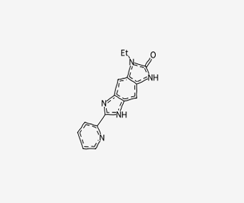 CCn1c(=O)[nH]c2cc3[nH]c(-c4ccccn4)nc3cc21